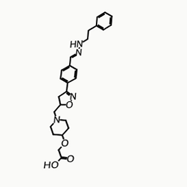 O=C(O)COC1CCN(CC2CC(c3ccc(C=NNCCc4ccccc4)cc3)=NO2)CC1